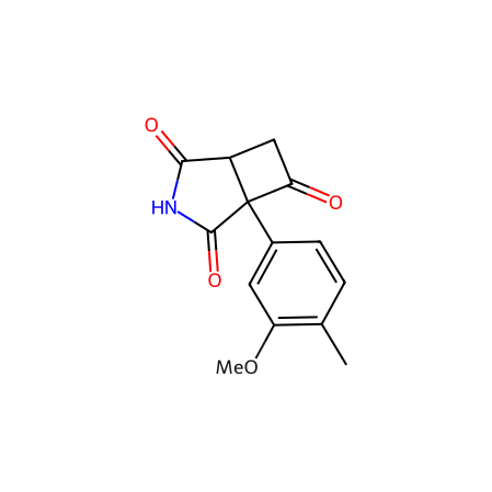 COc1cc(C23C(=O)CC2C(=O)NC3=O)ccc1C